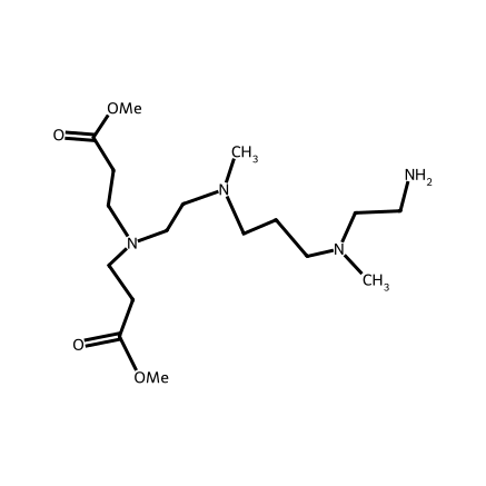 COC(=O)CCN(CCC(=O)OC)CCN(C)CCCN(C)CCN